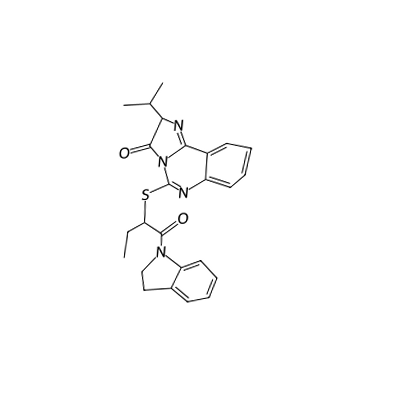 CCC(SC1=Nc2ccccc2C2=NC(C(C)C)C(=O)N12)C(=O)N1CCc2ccccc21